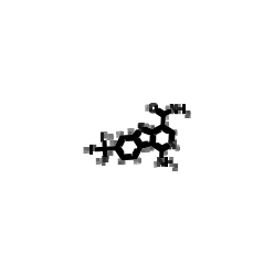 NC(=O)c1cnc(N)c2c1sc1cc(C(F)(F)F)ccc12